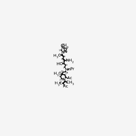 CCCN(CCC(O)/C(N)=C/C=C(\C)N1CN(C)N=N1)CCC1(C)CCN(/C(C)=C(\C)C(C)=O)C(C(C)=O)C1